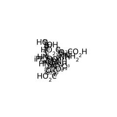 Cc1ccccc1C[C@H](NC(=O)[C@H](CCC(=O)O)NC(=O)[C@@H](N)CC(=O)O)C(=O)N(C(=O)CCC(=O)O)[C@H](C(=O)N[C@@H](CC(C)C)C(=O)NC=CCCB(O)O)c1ccccc1